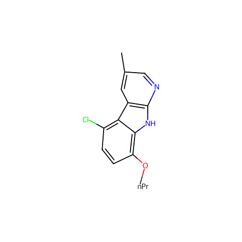 CCCOc1ccc(Cl)c2c1[nH]c1ncc(C)cc12